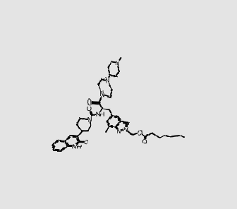 CCCCCCC(=O)OCn1cc2cc(C[C@@H](NC(=O)N3CCC(c4cc5ccccc5[nH]c4=O)CC3)C(=O)N3CCN(C4CCN(C)CC4)CC3)cc(C)c2n1